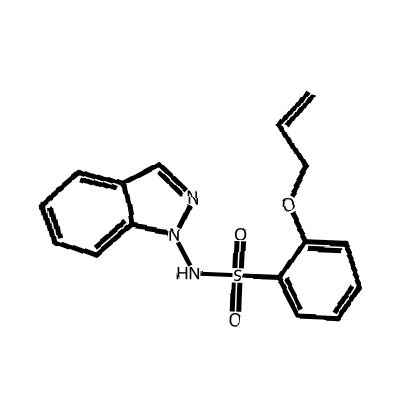 C=CCOc1ccccc1S(=O)(=O)Nn1ncc2ccccc21